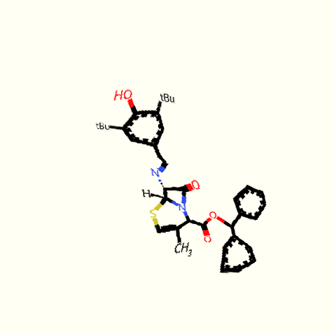 CC1=CS[C@@H]2[C@H](/N=C/c3cc(C(C)(C)C)c(O)c(C(C)(C)C)c3)C(=O)N2C1C(=O)OC(c1ccccc1)c1ccccc1